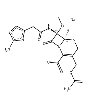 CO[C@@]1(NC(=O)Cc2csc(N)n2)C(=O)N2C(C(=O)[O-])=C(COC(N)=O)CS[C@@H]21.[Na+]